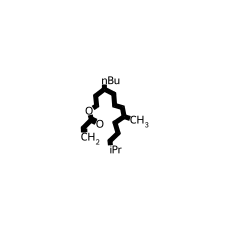 C=CC(=O)OCCC(CCCC)CCCC(C)CCCC(C)C